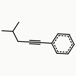 CC(C)CC#Cc1c[c]ccc1